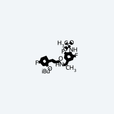 CC[C@@H](C)Oc1cc(F)ccc1C=CC(=O)NC(C)c1cc(F)c(NS(C)(=O)=O)c(F)c1